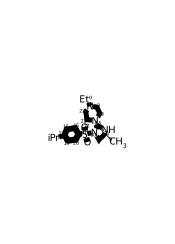 CCN1CCN(C2N[C@H](C)CN2S(=O)(=O)c2ccc(C(C)C)cc2)CC1